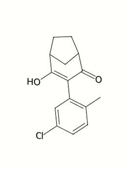 Cc1ccc(Cl)cc1C1=C(O)C2CCC(C2)C1=O